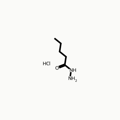 CCCCC(=O)NN.Cl